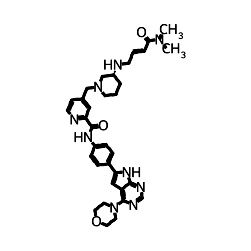 CN(C)C(=O)/C=C/CN[C@@H]1CCCN(Cc2ccnc(C(=O)Nc3ccc(-c4cc5c(N6CCOCC6)ncnc5[nH]4)cc3)c2)C1